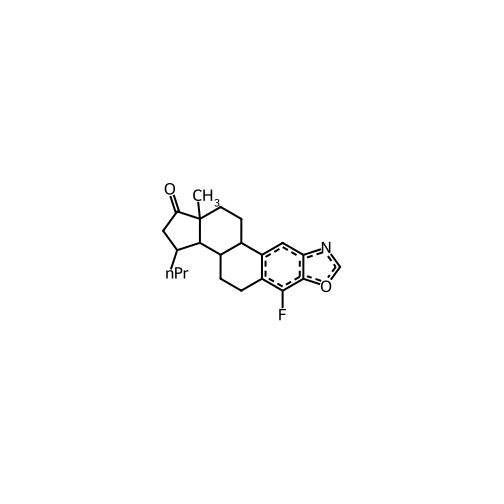 CCCC1CC(=O)C2(C)CCC3c4cc5ncoc5c(F)c4CCC3C12